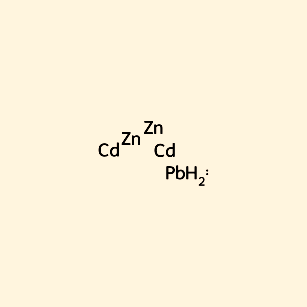 [Cd].[Cd].[PbH2].[Zn].[Zn]